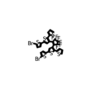 FC1(F)C(c2cc(-c3ccc(Br)s3)sc2-c2cccs2)=C(c2cc(-c3ccc(Br)s3)sc2-c2cccs2)C(F)(F)C1(F)F